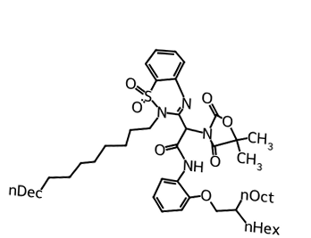 CCCCCCCCCCCCCCCCCCN1C(C(C(=O)Nc2ccccc2OCC(CCCCCC)CCCCCCCC)N2C(=O)OC(C)(C)C2=O)=Nc2ccccc2S1(=O)=O